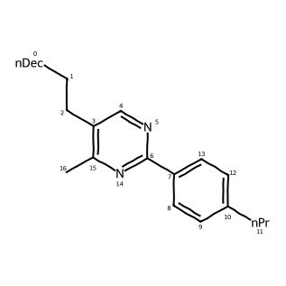 CCCCCCCCCCCCc1cnc(-c2ccc(CCC)cc2)nc1C